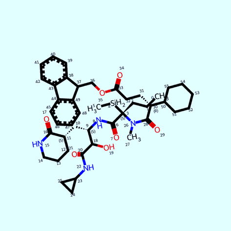 CCC[C@]([SiH2]C)(C(=O)N[C@@H](C[C@@H]1CCCNC1=O)C(O)C(=O)NC1CC1)N(C)C(=O)[C@H](CCC(=O)OCC1c2ccccc2-c2ccccc21)C1CCCCC1